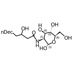 CCCCCCCCCCCC(O)CC(=O)N[C@H]1[C@@H](O)[C@H](O)[C@@H](CO)O[C@@H]1O